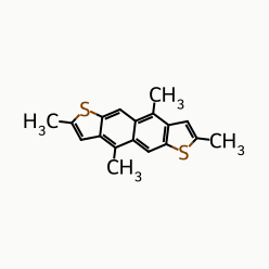 Cc1cc2c(C)c3cc4sc(C)cc4c(C)c3cc2s1